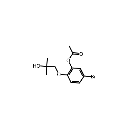 CC(=O)Oc1cc(Br)ccc1OCC(C)(C)O